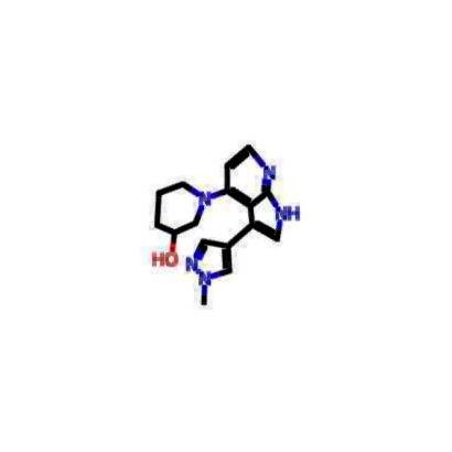 Cn1cc(-c2c[nH]c3nccc(N4CCCC(O)C4)c23)cn1